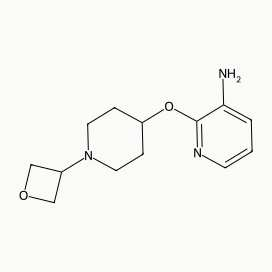 Nc1cccnc1OC1CCN(C2COC2)CC1